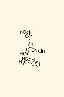 CCCCCCCCOC(=O)CCc1ccc(C#N)c(OC[C@H](O)CNC(C)(C)CC2Cc3ccccc3C2)c1.Cl